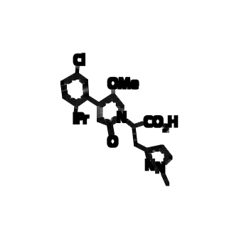 COc1cn(C(Cc2ccn(C)n2)C(=O)O)c(=O)cc1-c1cc(Cl)ccc1C(C)C